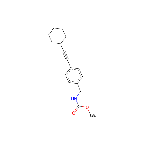 CC(C)(C)OC(=O)NCc1ccc(C#CC2CCCCC2)cc1